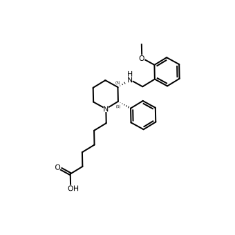 COc1ccccc1CN[C@H]1CCCN(CCCCCC(=O)O)[C@H]1c1ccccc1